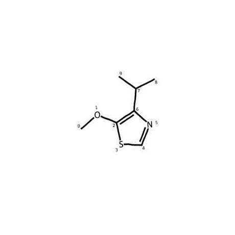 COc1scnc1C(C)C